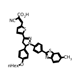 CCCCCCOc1ccc(C2CC(c3ccc(/C=C(\C#N)C(=O)O)s3)=NN2c2ccc(-c3nc4ccc(C)cc4s3)cc2)cc1